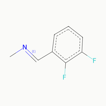 C/N=C/c1cccc(F)c1F